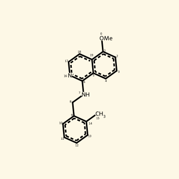 COc1cccc2c(NCc3ccccc3C)nccc12